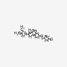 C[C@H]1CN(c2ccc(-n3ccc(OCc4ccc(Cl)cn4)cc3=O)c(=O)[nH]2)CCN1C